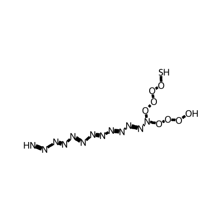 N=N/N=N/N=N/N=N/N=N/N=N/N(OOOO)OOOOS